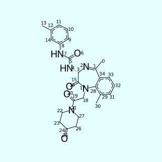 CC1=N[C@@H](NC(=O)Nc2cccc(C)c2)C(=O)N(CC(=O)N2CCC(=O)CC2)c2c(C)cccc21